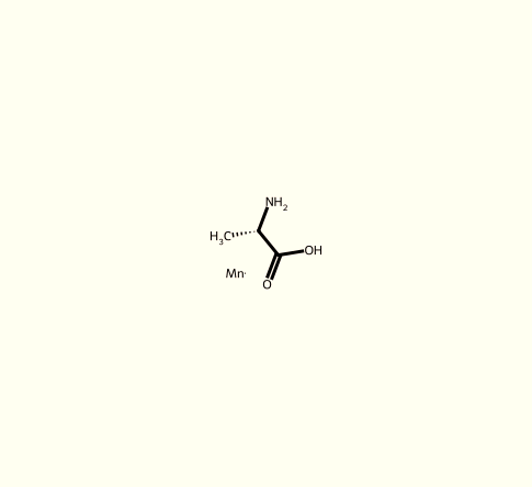 C[C@H](N)C(=O)O.[Mn]